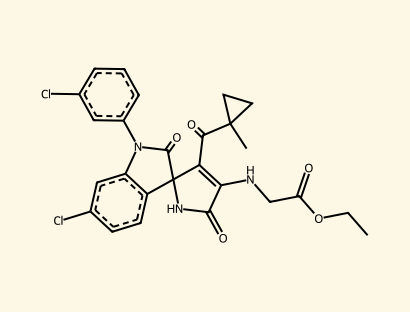 CCOC(=O)CNC1=C(C(=O)C2(C)CC2)C2(NC1=O)C(=O)N(c1cccc(Cl)c1)c1cc(Cl)ccc12